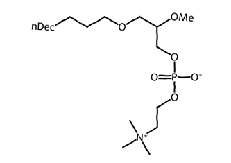 CCCCCCCCCCCCCOCC(COP(=O)([O-])OCC[N+](C)(C)C)OC